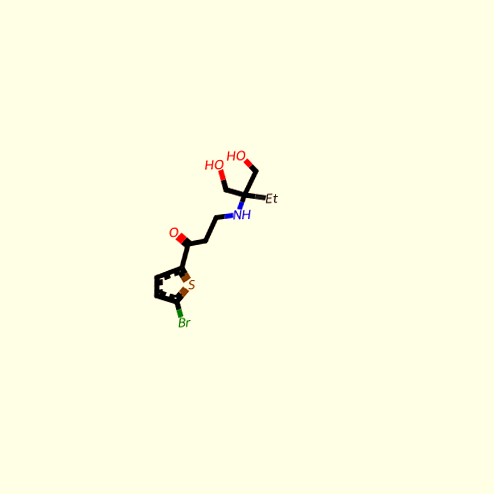 CCC(CO)(CO)NCCC(=O)c1ccc(Br)s1